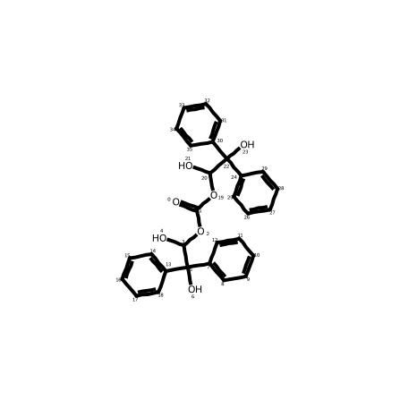 O=C(OC(O)C(O)(c1ccccc1)c1ccccc1)OC(O)C(O)(c1ccccc1)c1ccccc1